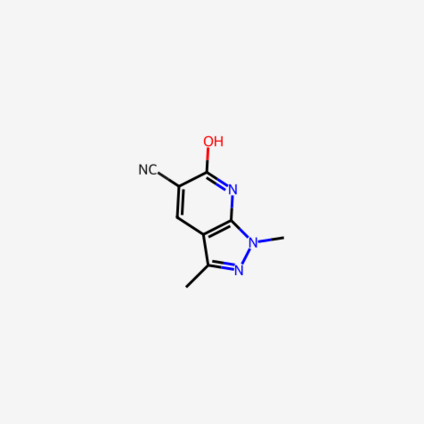 Cc1nn(C)c2nc(O)c(C#N)cc12